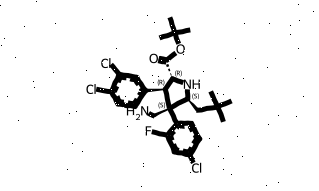 CC(C)(C)C[C@@H]1N[C@@H](C(=O)OC(C)(C)C)[C@H](c2ccc(Cl)c(Cl)c2)[C@@]1(CN)c1ccc(Cl)cc1F